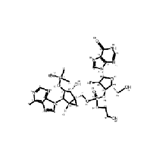 Cc1ncnc2c1ncn2[C@H]1C(O[Si](C)(C)C(C)(C)C)[C@H](O)[C@@]2(COP(=O)(OCCC#N)O[C@H]3[C@@H](F)[C@H](n4cnc5c(=O)[nH]cnc54)O[C@@H]3CO)C[C@H]12